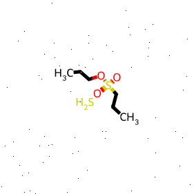 CCCOS(=O)(=O)CCC.S